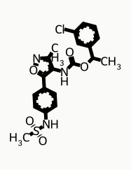 Cc1noc(-c2ccc(NS(C)(=O)=O)cc2)c1NC(=O)OC(C)c1cccc(Cl)c1